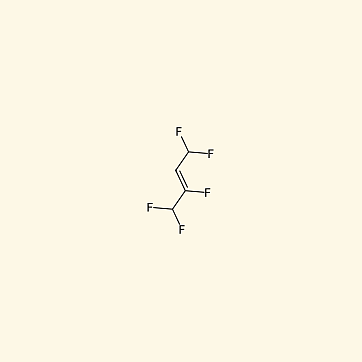 FC(=CC(F)F)C(F)F